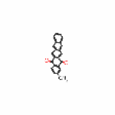 Cc1ccc2c(c1)C(=O)c1cc3cc4ccccc4cc3cc1C2=O